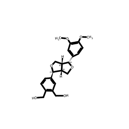 COc1ccc([C@@H]2OC[C@H]3[C@@H]2CO[C@@H]3c2ccc(CO)c(CO)c2)cc1OC